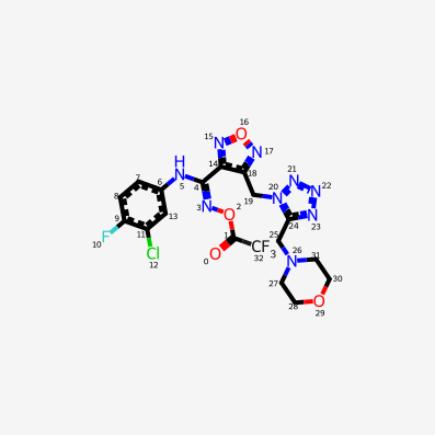 O=C(ON=C(Nc1ccc(F)c(Cl)c1)c1nonc1Cn1nnnc1CN1CCOCC1)C(F)(F)F